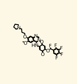 COc1cc2c(NC3=CC(=O)C(OC(F)c4cc(F)c(F)c(F)c4F)=CC3=O)ncnc2cc1OCCCN1CCCC1